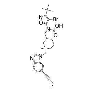 CCC#Cc1ccc2ncn(CC3(C)CCCC(CN(C(=O)O)c4onc(C(C)(C)C)c4Br)C3)c2c1